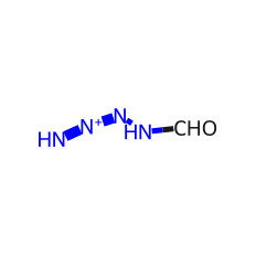 N=[N+]=NNC=O